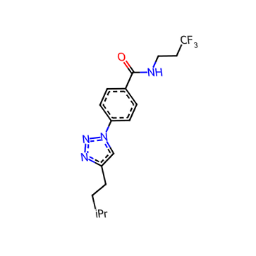 CC(C)CCc1cn(-c2ccc(C(=O)NCCC(F)(F)F)cc2)nn1